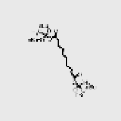 CCCCOC(C)(OCCCC)OC(=O)CCCCCCCCC(=O)OC(C)(OCCCC)OCCCC